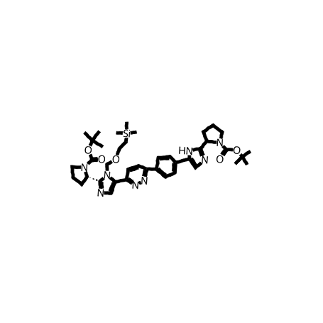 CC(C)(C)OC(=O)N1CCCC1c1ncc(-c2ccc(-c3ccc(-c4cnc([C@@H]5CCCN5C(=O)OC(C)(C)C)n4COCC[Si](C)(C)C)nn3)cc2)[nH]1